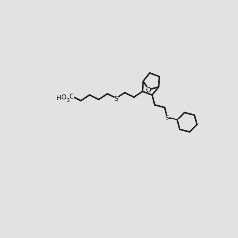 O=C(O)CCCCSCCC1C2CCC(O2)C1CCSC1CCCCC1